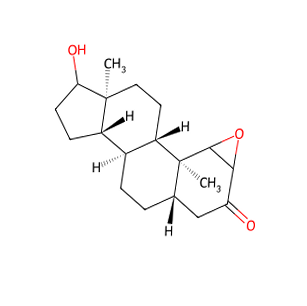 C[C@]12C3OC3C(=O)C[C@@H]1CC[C@@H]1[C@@H]2CC[C@]2(C)C(O)CC[C@@H]12